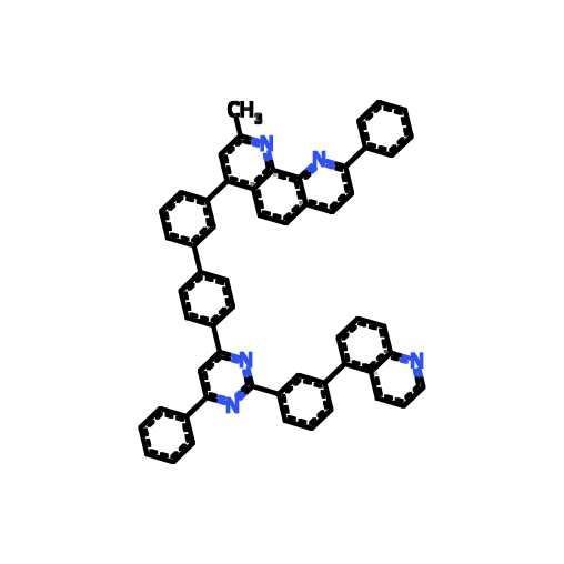 Cc1cc(-c2cccc(-c3ccc(-c4cc(-c5ccccc5)nc(-c5cccc(-c6cccc7ncccc67)c5)n4)cc3)c2)c2ccc3ccc(-c4ccccc4)nc3c2n1